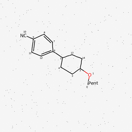 CCCC(C)OC1CCC(c2ccc(C#N)cc2)CC1